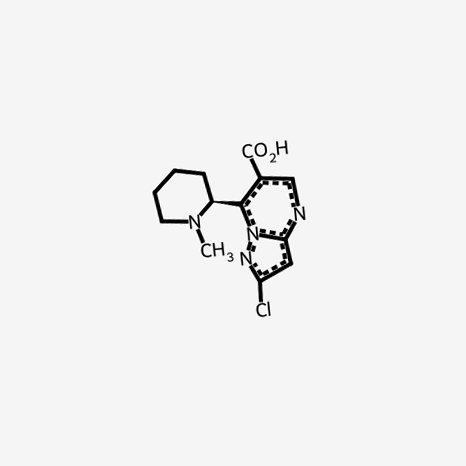 CN1CCCC[C@H]1c1c(C(=O)O)cnc2cc(Cl)nn12